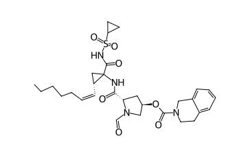 CCCCC/C=C\[C@@H]1CC1(NC(=O)[C@@H]1C[C@@H](OC(=O)N2CCc3ccccc3C2)CN1C=O)C(=O)NS(=O)(=O)C1CC1